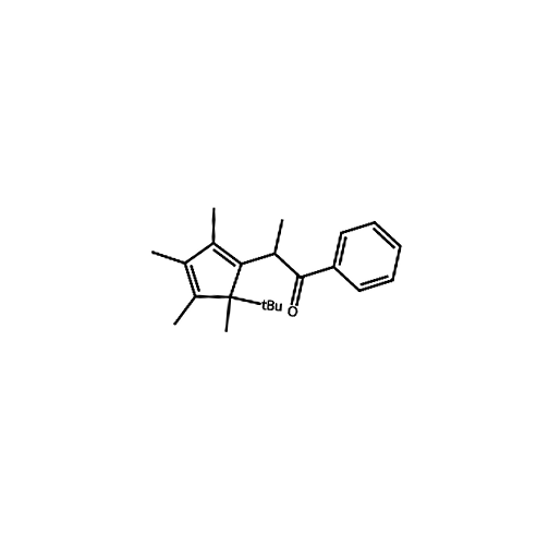 CC1=C(C)C(C)(C(C)(C)C)C(C(C)C(=O)c2ccccc2)=C1C